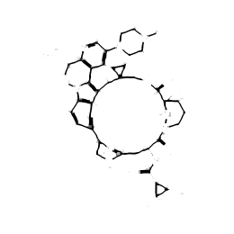 CCn1c(-c2cc(N3CCN(C)CC3)cnc2[C@H](C)OC)c2c3cc(ccc31)C1CSC(=N1)C[C@H](NC(=O)[C@H]1[C@H](C)[C@@H]1C)C(=O)N1CCC[C@H](N1)C(=O)OCC1(CC1)C2